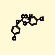 O=C(O)C(Oc1ccc(Cl)cc1)Oc1ccc(Cl)cc1